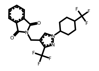 O=C1c2ccccc2C(=O)N1Cc1cn(C2CCC(C(F)(F)F)CC2)nc1C(F)(F)F